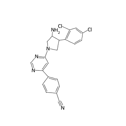 N#Cc1ccc(-c2cc(N3CC(N)C(c4ccc(Cl)cc4Cl)C3)ncn2)cc1